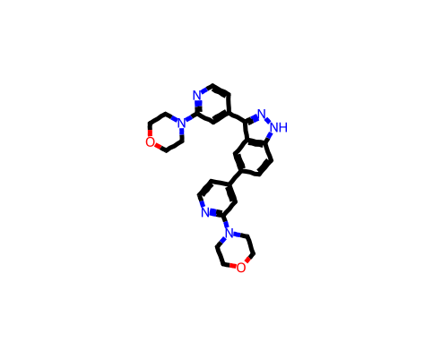 c1cc(-c2ccc3[nH]nc(-c4ccnc(N5CCOCC5)c4)c3c2)cc(N2CCOCC2)n1